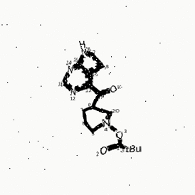 CC(C)(C)C(=O)ON1CCCC(C(=O)c2ncnc3[nH]ccc23)C1